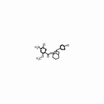 COc1cc(N)c(Cl)cc1C(=O)NC12CCCC(CCC1)N2Cc1ccc(Cl)cc1